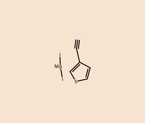 C#Cc1[c]scc1.[I][Mg][I]